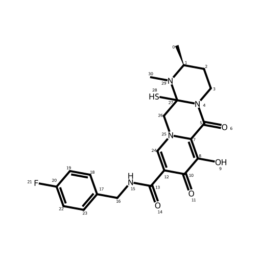 C[C@H]1CCN2C(=O)c3c(O)c(=O)c(C(=O)NCc4ccc(F)cc4)cn3CC2(S)N1C